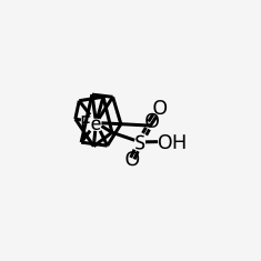 O=C[C]12[CH]3[CH]4[CH]5[CH]1[Fe]45321678[CH]2[CH]1[CH]6[C]7(S(=O)(=O)O)[CH]28